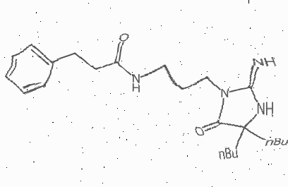 CCCCC1(CCCC)NC(=N)N(CCCNC(=O)CCc2ccccc2)C1=O